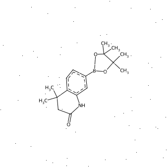 CC1(C)CC(=O)Nc2cc(B3OC(C)(C)C(C)(C)O3)ccc21